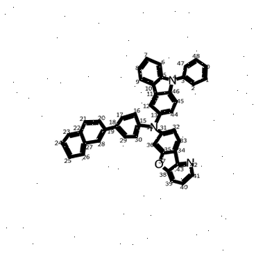 c1ccc(-n2c3ccccc3c3cc(N(c4ccc(-c5ccc6ccccc6c5)cc4)c4ccc5c(c4)oc4cccnc45)ccc32)cc1